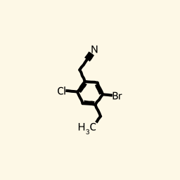 CCc1cc(Cl)c(CC#N)cc1Br